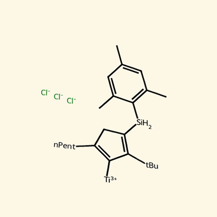 CCCCCC1=[C]([Ti+3])C(C(C)(C)C)=C([SiH2]c2c(C)cc(C)cc2C)C1.[Cl-].[Cl-].[Cl-]